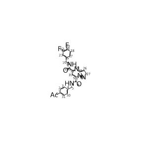 CC(=O)c1ccc(CNC(=O)c2cc(C(=O)NCc3ccc(F)c(F)c3)nc3ccnn23)cc1